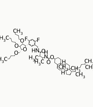 CCCCOC[C@H]1O[C@@H](c2cc(CNC(=O)C(C)C(C)NC(=O)O[C@H]3CC[C@@]4(C)C(=CCC5[C@@H]6CC[C@H]([C@H](C)CCCC(C)C)[C@@]6(C)CC[C@@H]54)C3)c(F)cc2F)[C@@H](OCCCC)C1OCCCC